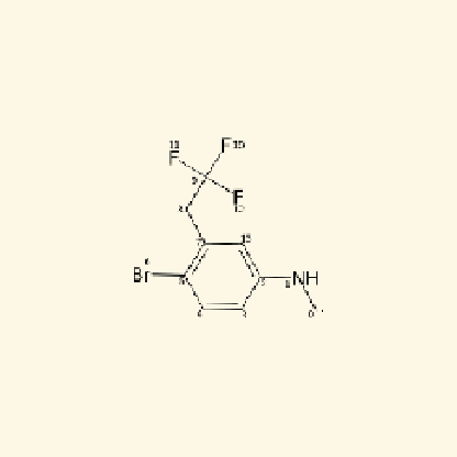 [CH2]Nc1ccc(Br)c(CC(F)(F)F)c1